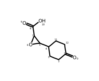 O=C1CCC(C2OC2C(=O)O)CC1